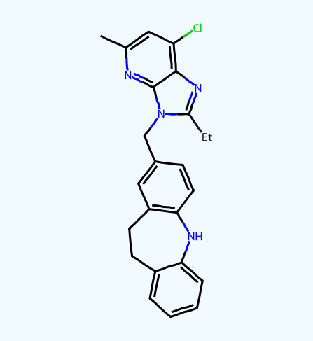 CCc1nc2c(Cl)cc(C)nc2n1Cc1ccc2c(c1)CCc1ccccc1N2